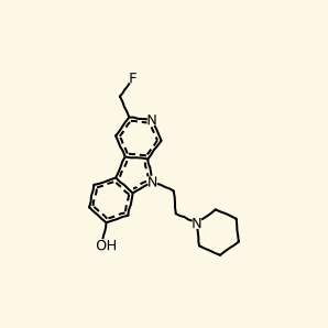 Oc1ccc2c3cc(CF)ncc3n(CCN3CCCCC3)c2c1